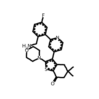 CC1(C)CC(=O)c2sc(N3CCOCC3)c(-c3ccnc(-c4cc(F)ccc4CN)c3)c2C1